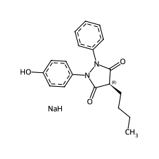 CCCC[C@@H]1C(=O)N(c2ccccc2)N(c2ccc(O)cc2)C1=O.[NaH]